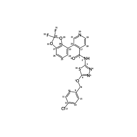 O=C(Nc1nnc(OCc2ccc(Cl)cc2)s1)c1ccncc1-c1cccc2c1OC(F)(F)O2